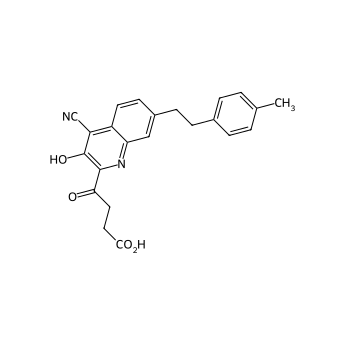 Cc1ccc(CCc2ccc3c(C#N)c(O)c(C(=O)CCC(=O)O)nc3c2)cc1